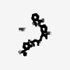 Br.Cc1[nH]c2ccc(NC(=O)c3ccccc3Cl)cc2c1CCN(C)Cc1nc2ccc([N+](=O)[O-])cc2o1